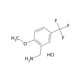 COc1ccc(C(F)(F)F)cc1CN.Cl